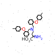 Cc1ccc(Oc2ccccc2CN(CC[C@H](N)C(=O)O)Cc2ccccc2Oc2ccc(C)cc2)cc1